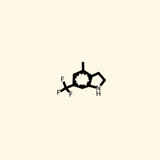 Cc1cc(C(F)(F)F)cc2c1CCN2